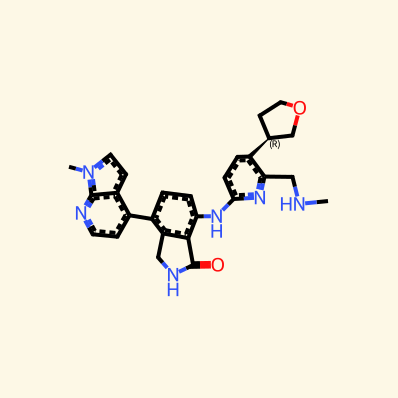 CNCc1nc(Nc2ccc(-c3ccnc4c3ccn4C)c3c2C(=O)NC3)ccc1[C@H]1CCOC1